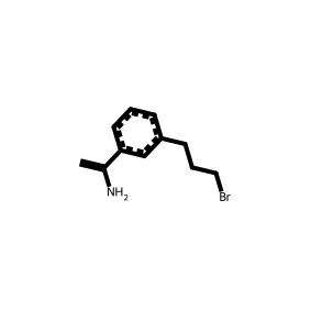 C=C(N)c1cccc(CCCBr)c1